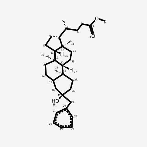 COC(=O)CC[C@@H](C)[C@H]1CC[C@H]2[C@@H]3CCC4C[C@@](O)(Cc5ccccc5)CC[C@]4(C)[C@H]3CC[C@]12C